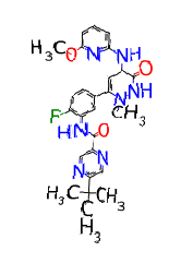 COc1cccc(NC2C=C(c3ccc(F)c(NC(=O)c4cnc(C(C)(C)C)cn4)c3)N(C)NC2=O)n1